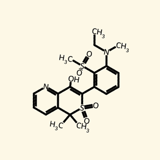 CCN(C)c1cccc(C2=C(O)c3ncccc3C(C)(C)S2(=O)=O)c1S(C)(=O)=O